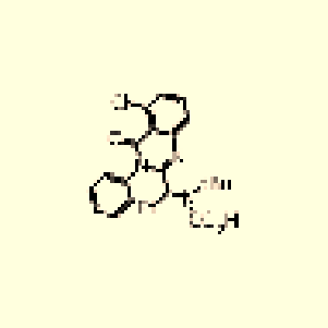 CCC(c1nc2cccc(Cl)c2c(=O)n1-c1ccccc1)N(C(=O)O)C(C)(C)C